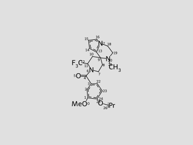 COc1cc(C(=O)N2CCC3(CC2C(F)(F)F)c2cccn2CCN3C)ccc1OC(C)C